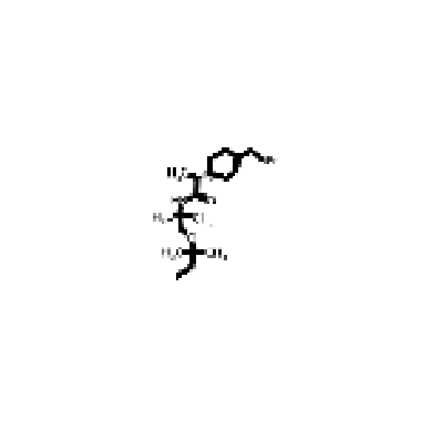 CC(C)CC1=CC[C@H](C(C)C(=O)NC(C)(C)COC(C)(C)CI)CC1